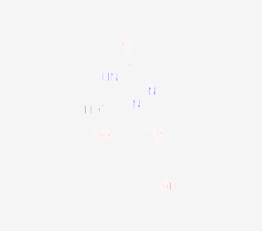 C=C1NC(=O)C=NN1[C@@H]1O[C@H](CO)C[C@@H]1O